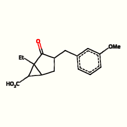 CCC12C(=O)C(Cc3cccc(OC)c3)CC1C2C(=O)O